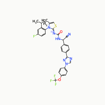 Cc1cs/c(=N\C(=O)NC(C#N)c2ccc(-c3ncn(-c4ccc(OC(F)(F)F)cc4)n3)cc2)n1-c1ccc(F)cc1C(C)C